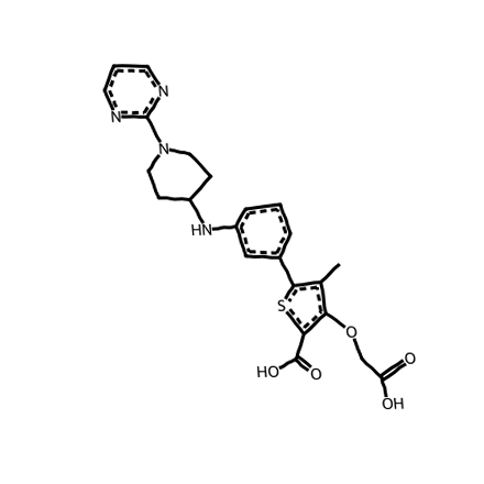 Cc1c(-c2cccc(NC3CCN(c4ncccn4)CC3)c2)sc(C(=O)O)c1OCC(=O)O